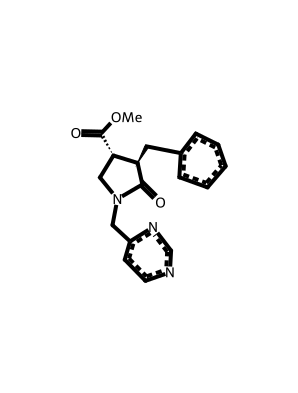 COC(=O)[C@H]1CN(Cc2ccncn2)C(=O)[C@@H]1Cc1ccccc1